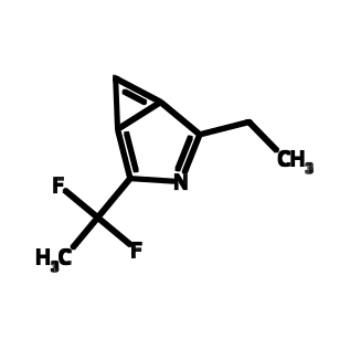 CCc1nc(C(C)(F)F)c2cc1-2